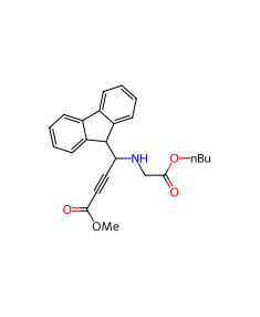 CCCCOC(=O)CNC(C#CC(=O)OC)C1c2ccccc2-c2ccccc21